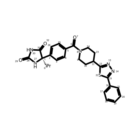 CC(C)[C@]1(c2ccc(C(=O)N3CCC(c4nnc(-c5ccccc5)s4)CC3)cc2)NC(=O)NC1=O